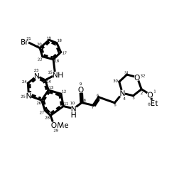 CCOC1CN(C/C=C/C(=O)Nc2cc3c(Nc4cccc(Br)c4)ncnc3cc2OC)CCO1